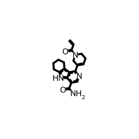 C=CC(=O)N1CCC=C(c2ncc(C(N)=O)c3[nH]c4c(c23)CCCC4)C1